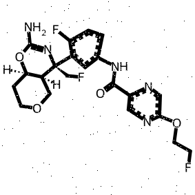 NC1=N[C@](CF)(c2cc(NC(=O)c3cnc(OCCF)cn3)ccc2F)[C@H]2COCC[C@H]2O1